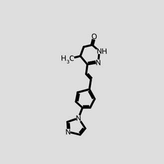 CC1CC(=O)NN=C1C=Cc1ccc(-n2ccnc2)cc1